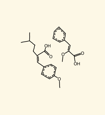 COC(=Cc1ccccc1)C(=O)O.COc1ccc(C=C(CCC(C)C)C(=O)O)cc1